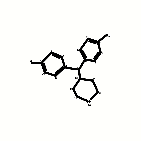 Cc1ccc(C(c2ccc(C)cc2)C2CC[N]CC2)cc1